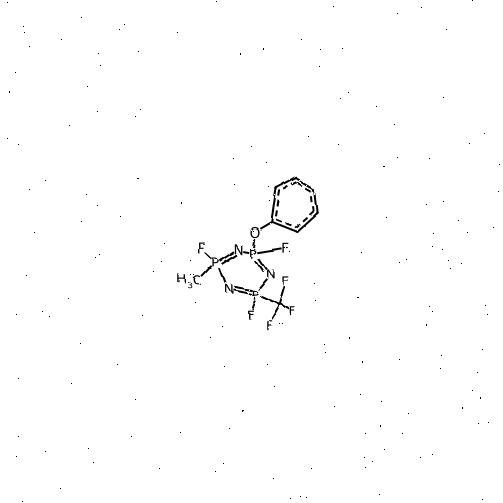 CP1(F)=NP(F)(Oc2ccccc2)=NP(F)(C(F)(F)F)=N1